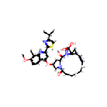 COc1ccc2c(OC3CC4C(=O)NC5(C(=O)O)CC5/C=C\CCCCCC(=O)N4C3)cc(-c3nc(C(C)C)cs3)nc2c1C